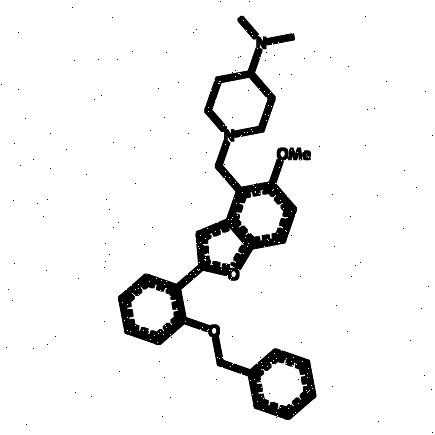 COc1ccc2oc(-c3ccccc3OCc3ccccc3)cc2c1CN1CCC(N(C)C)CC1